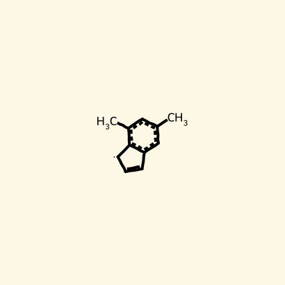 Cc1cc(C)c2c(c1)C=C[CH]2